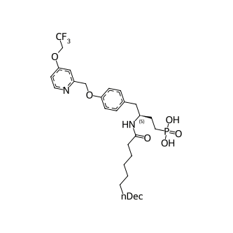 CCCCCCCCCCCCCCCC(=O)N[C@H](CCP(=O)(O)O)Cc1ccc(OCc2cc(OCC(F)(F)F)ccn2)cc1